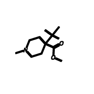 COC(=O)C1(C(C)(C)C)CCN(C)CC1